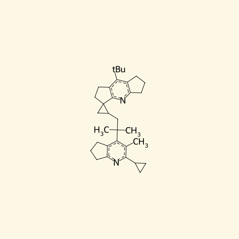 Cc1c(C2CC2)nc2c(c1C(C)(C)CC1CC13CCc1c3nc3c(c1C(C)(C)C)CCC3)CCC2